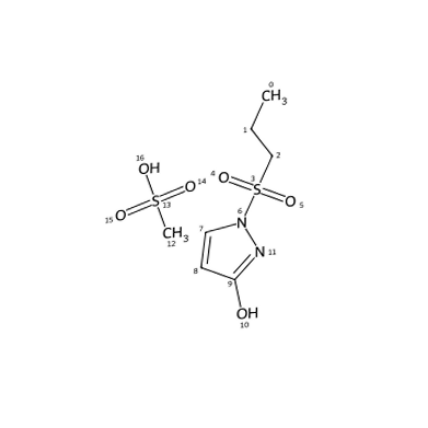 CCCS(=O)(=O)n1ccc(O)n1.CS(=O)(=O)O